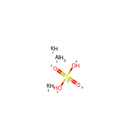 O=S(=O)(O)O.[AlH3].[KH].[KH]